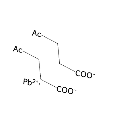 CC(=O)CCC(=O)[O-].CC(=O)CCC(=O)[O-].[Pb+2]